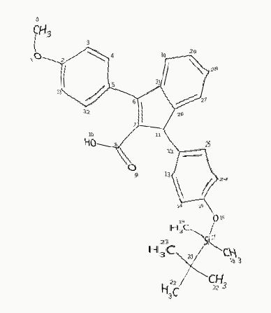 COc1ccc(C2=C(C(=O)O)C(c3ccc(O[Si](C)(C)C(C)(C)C)cc3)c3ccccc32)cc1